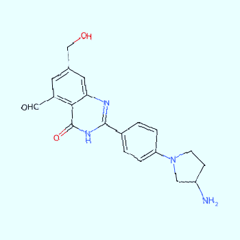 NC1CCN(c2ccc(-c3nc4cc(CO)cc(C=O)c4c(=O)[nH]3)cc2)C1